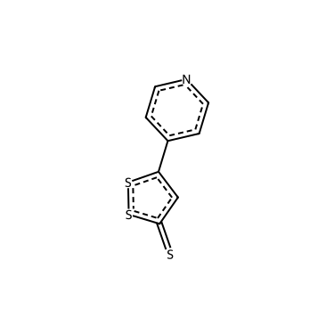 S=c1cc(-c2ccncc2)ss1